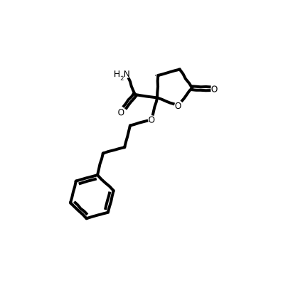 NC(=O)C1(OCCCc2ccccc2)[CH]CC(=O)O1